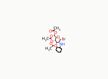 CC(=O)OC[C@H]1O[C@H](Br)[C@H](Nc2ccccc2)[C@@H](OC(C)=O)[C@@H]1OC(C)=O